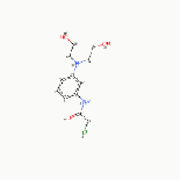 O=C(CCl)Nc1cccc(N(CCO)CCO)c1